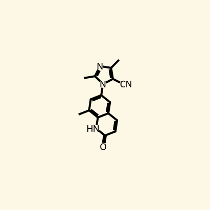 Cc1nc(C)n(-c2cc(C)c3[nH]c(=O)ccc3c2)c1C#N